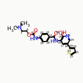 CN(C)CCOC(=O)Nc1ccc(C(=O)Nc2cc(-c3cccs3)cnc2O)cc1